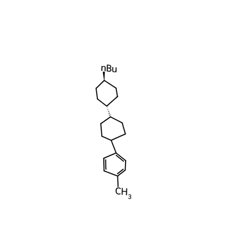 CCCC[C@H]1CC[C@H](C2CCC(c3ccc(C)cc3)CC2)CC1